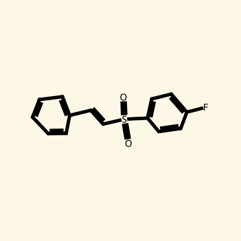 O=S(=O)(/C=C/c1ccccc1)c1ccc(F)cc1